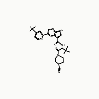 CC(C)(C)[C@@H](NC(=O)c1c[nH]c2ncc(-c3cc(C(F)(F)F)ccn3)nc12)C(=O)N1CCC(C#N)CC1